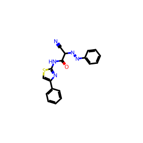 N#CC(N=Nc1ccccc1)C(=O)Nc1nc(-c2ccccc2)cs1